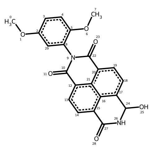 COc1ccc(OC)c(N2C(=O)c3ccc4c5c(ccc(c35)C2=O)C(O)NC4=O)c1